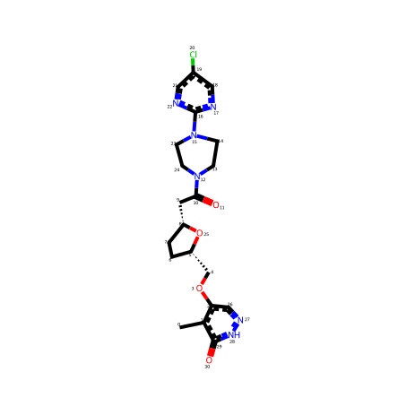 Cc1c(OC[C@@H]2CC[C@H](CC(=O)N3CCN(c4ncc(Cl)cn4)CC3)O2)cn[nH]c1=O